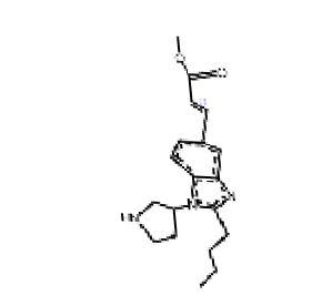 CCCCc1nc2cc(/C=C/C(=O)OC)ccc2n1C1CCNC1